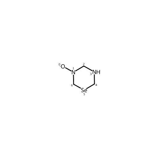 [O]N1CNC[Se]C1